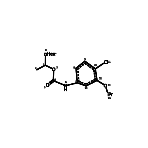 CCCCC[CH]C(C)OC(=O)Nc1ccc(Cl)c(OC(C)C)c1